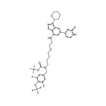 CC(C)(C)OC(=O)N(CCCCOCCNc1cc(-c2cc[nH]c(=O)n2)cc2c1cnn2C1CCCCO1)Cc1cc(F)c(OC(F)(F)F)c(F)c1